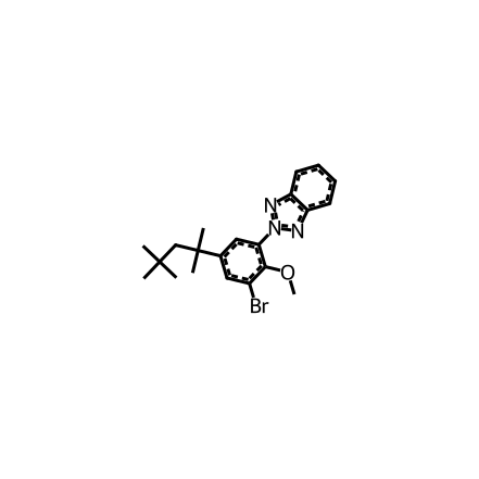 COc1c(Br)cc(C(C)(C)CC(C)(C)C)cc1-n1nc2ccccc2n1